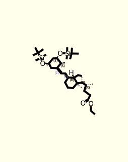 CCOC(=O)CC[C@@H](C)[C@H]1CC[C@H]2/C(=C/C=C3/C[C@@H](O[Si](C)(C)C(C)(C)C)C[C@H](O[Si](C)(C)C(C)(C)C)[C@H]3C)CCC[C@]12C